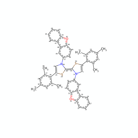 Cc1cc(C)c(C2=CN(c3ccc4oc5ccccc5c4c3)/C(=C3\SC(c4c(C)cc(C)cc4C)=CN3c3ccc4oc5ccccc5c4c3)S2)c(C)c1